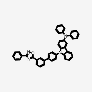 c1ccc(-c2noc(-c3cccc(-c4ccc(-n5c6ccccc6c6cc(N(c7ccccc7)c7ccccc7)ccc65)cc4)c3)n2)cc1